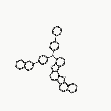 c1ccc(-c2ccc(N(c3ccc(-c4ccc5ccccc5c4)cc3)c3cccc4c3sc3ccc5c6ccc7ccccc7c6oc5c34)cc2)cc1